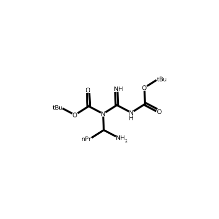 CCCC(N)N(C(=N)NC(=O)OC(C)(C)C)C(=O)OC(C)(C)C